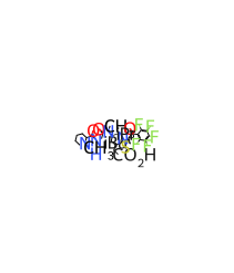 CC[C@H](C)[C@H](NC(=O)C1CCCCN1C)C(=O)N(C)[C@H](CC(CC(=O)O)c1nc(C(=O)c2c(F)c(F)c(F)c(F)c2F)cs1)C(C)C